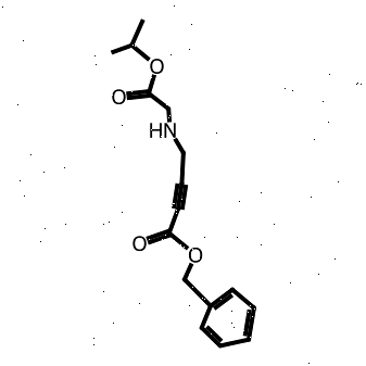 CC(C)OC(=O)CNCC#CC(=O)OCc1ccccc1